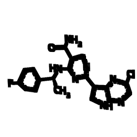 C[C@H](Nc1nc(-c2c[nH]c3ncc(Cl)nc23)ncc1C(N)=O)c1ccc(F)cc1